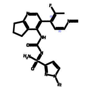 C=N/C=C\C(=C(/C)F)c1cnc2c(c1NC(=O)N=S(N)(=O)c1ccn(CC)n1)CCC2